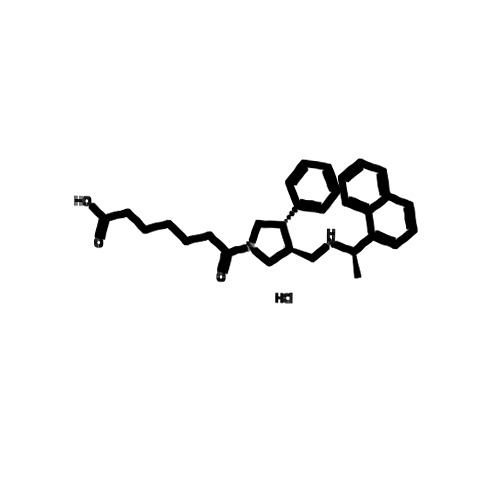 C[C@@H](NC[C@H]1CN(C(=O)CCCCCC(=O)O)C[C@@H]1c1ccccc1)c1cccc2ccccc12.Cl